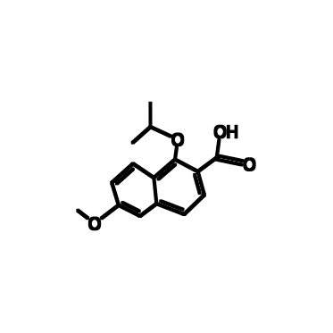 COc1ccc2c(OC(C)C)c(C(=O)O)ccc2c1